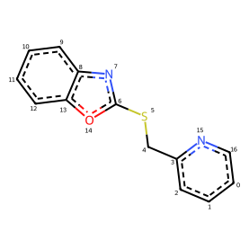 c1ccc(CSc2nc3ccccc3o2)nc1